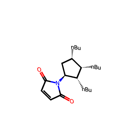 CCCC[C@H]1C[C@H](N2C(=O)C=CC2=O)[C@@H](CCCC)[C@H]1CCCC